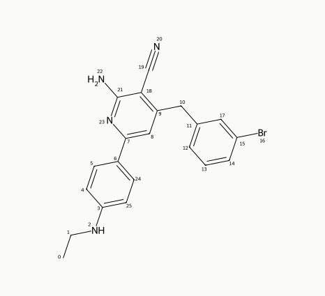 CCNc1ccc(-c2cc(Cc3cccc(Br)c3)c(C#N)c(N)n2)cc1